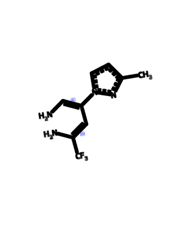 Cc1ccn(C(/C=C(\N)C(F)(F)F)=C/N)n1